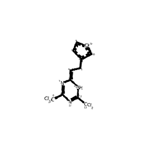 ClC(Cl)(Cl)C1=NC(=CCc2ccoc2)NC(C(Cl)(Cl)Cl)=N1